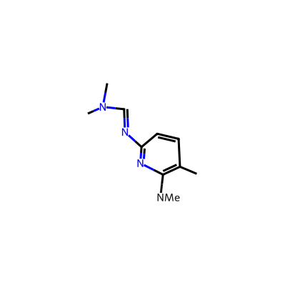 CNc1nc(/N=C/N(C)C)ccc1C